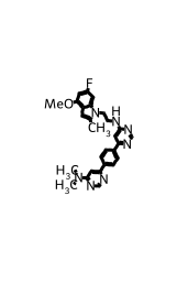 COc1cc(F)cc2c1cc(C)n2CCNc1cc(-c2ccc(-c3cc(N(C)C)ncn3)cc2)ncn1